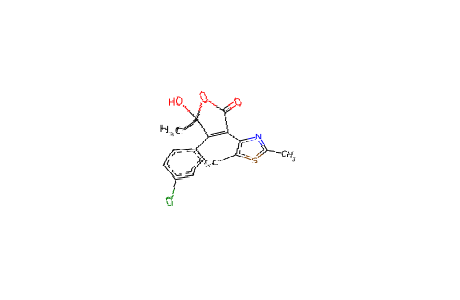 Cc1nc(C2=C(c3ccc(Cl)cc3)C(C)(O)OC2=O)c(C)s1